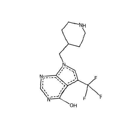 Oc1ncnc2c1c(C(F)(F)F)cn2CC1CCNCC1